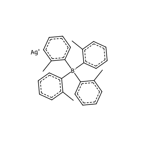 Cc1ccccc1[B-](c1ccccc1C)(c1ccccc1C)c1ccccc1C.[Ag+]